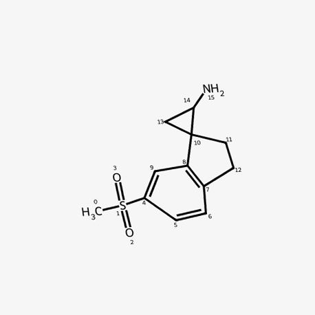 CS(=O)(=O)c1ccc2c(c1)C1(CC2)CC1N